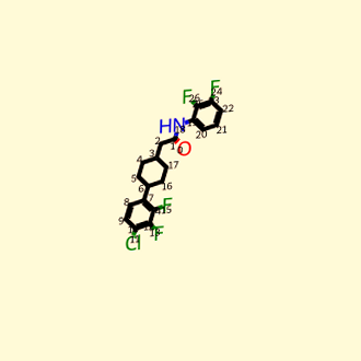 O=C(CC1CCC(c2ccc(Cl)c(F)c2F)CC1)Nc1cccc(F)c1F